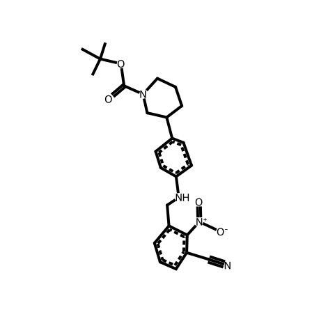 CC(C)(C)OC(=O)N1CCCC(c2ccc(NCc3cccc(C#N)c3[N+](=O)[O-])cc2)C1